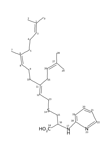 CC(C)=CCCC(C)=CCCC(=CCSCC(Nc1ccccn1)C(=O)O)CC=C(C)C